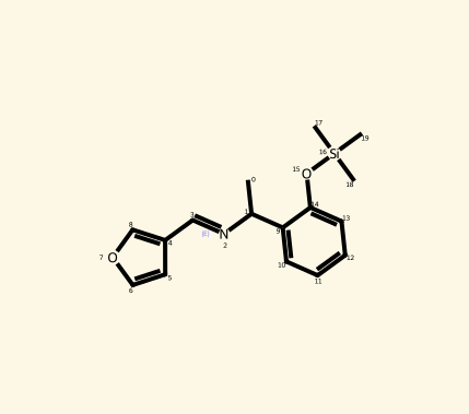 CC(/N=C/c1ccoc1)c1ccccc1O[Si](C)(C)C